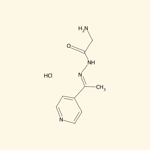 CC(=NNC(=O)CN)c1ccncc1.Cl